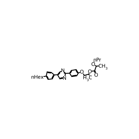 CCCCCCc1ccc(-c2cnc(-c3ccc(OCC(C)OC(=O)C(C)OCCC)cc3)nc2)cc1